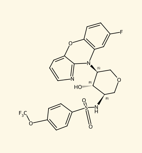 O=S(=O)(N[C@@H]1COC[C@H](N2c3cc(F)ccc3Oc3cccnc32)[C@H]1O)c1ccc(OC(F)(F)F)cc1